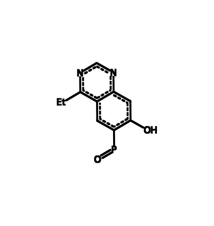 CCc1ncnc2cc(O)c(P=O)cc12